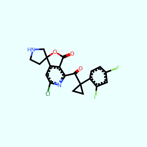 O=C1OC2(CCNC2)c2cc(Cl)nc(C(=O)C3(c4ccc(F)cc4F)CC3)c21